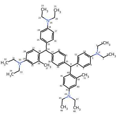 CCN(CC)c1ccc(C(c2ccc(C(c3ccc(N(CC)CC)cc3)c3ccc(N(CC)CC)cc3C)cc2)c2ccc(N(CC)CC)cc2C)cc1